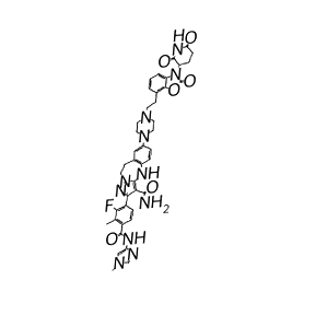 Cc1c(C(=O)Nc2cn(C)cn2)ccc(-c2nn3c(c2C(N)=O)Nc2ccc(N4CCN(CCc5cccc6c5oc(=O)n6C5CCC(=O)NC5=O)CC4)cc2CC3)c1F